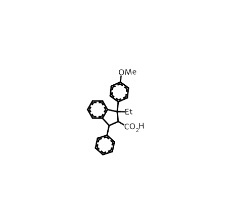 CCC1(c2ccc(OC)cc2)c2ccccc2C(c2ccccc2)C1C(=O)O